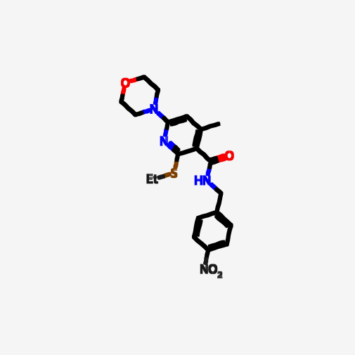 CCSc1nc(N2CCOCC2)cc(C)c1C(=O)NCc1ccc([N+](=O)[O-])cc1